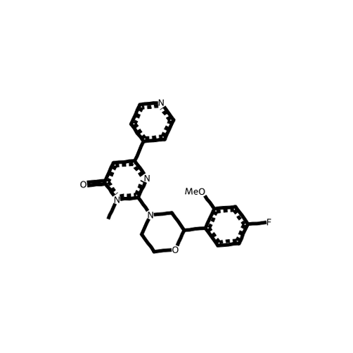 COc1cc(F)ccc1C1CN(c2nc(-c3ccncc3)cc(=O)n2C)CCO1